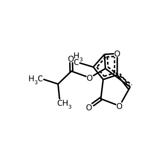 Cc1c2c3oc1c(OC(=O)C(C)C)c3OC2=O